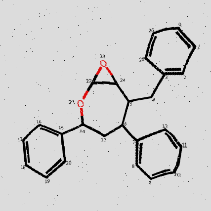 c1ccc(CC2C(c3ccccc3)CC(c3ccccc3)OC3OC32)cc1